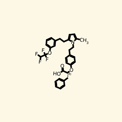 Cc1ccc(CCc2cccc(OC(F)(F)C(F)F)c2)n1CCc1ccc(O[C@H](Cc2ccccc2)C(=O)O)cc1